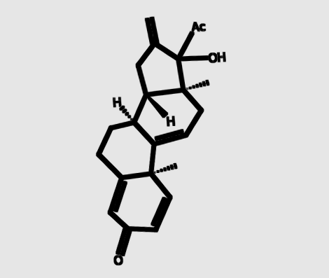 C=C1C[C@H]2[C@@H]3CCC4=CC(=O)C=C[C@]4(C)C3=CC[C@]2(C)C1(O)C(C)=O